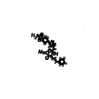 COC(=O)[C@H](CSCc1ccccc1)NC(=O)Cn1cc(-c2ccc(S(N)(=O)=O)cc2)nn1